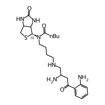 CCCCC(=O)N(CCCCNCC(N)CC(=O)c1ccccc1N)[C@H]1SCC2NC(=O)NC21